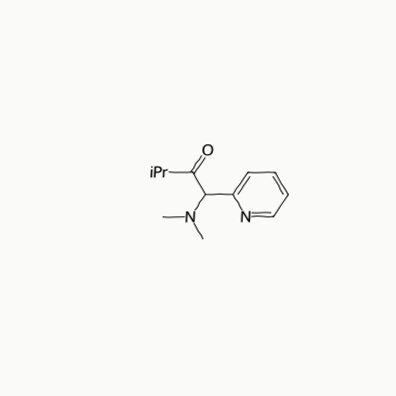 CC(C)C(=O)C(c1ccccn1)N(C)C